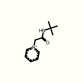 CC(C)(C)NC(=O)C[n+]1ccccc1